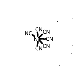 N#[C][Ni]([C]#N)([C]#N)([C]#N)([C]#N)[C]#N